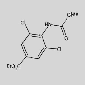 CCOC(=O)c1cc(Cl)c(NC(=O)OC)c(Cl)c1